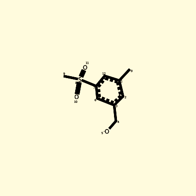 Cc1cc(C[O])cc(S(C)(=O)=O)c1